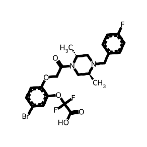 C[C@@H]1CN(Cc2ccc(F)cc2)[C@@H](C)CN1C(=O)COc1ccc(Br)cc1OC(F)(F)C(=O)O